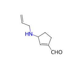 C=CCNC1C=C(C=O)CC1